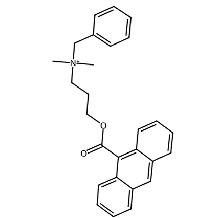 C[N+](C)(CCCOC(=O)c1c2ccccc2cc2ccccc12)Cc1ccccc1